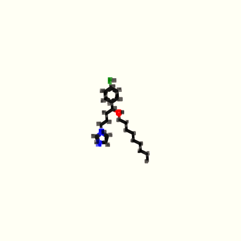 CCCCCCCCCOC(CCCn1ccnc1)c1ccc(F)cc1